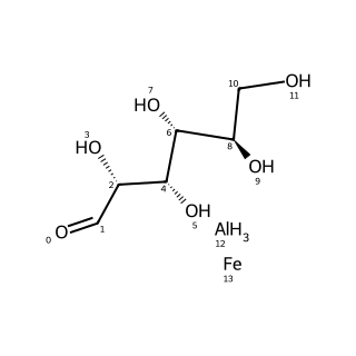 O=C[C@H](O)[C@@H](O)[C@H](O)[C@H](O)CO.[AlH3].[Fe]